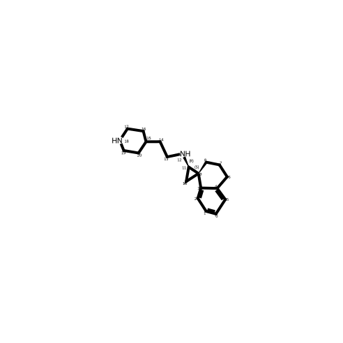 c1ccc2c(c1)CCC[C@]21C[C@H]1NCCC1CCNCC1